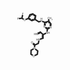 Cc1cnc(N/C(C=N)=C/NCC(=O)N2CCOCC2)nc1NCc1cccc(OC(F)F)c1